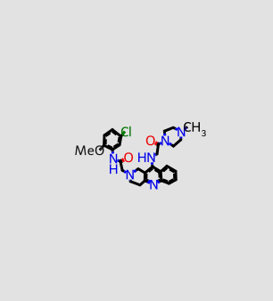 COc1ccc(Cl)cc1NC(=O)CN1CCc2nc3ccccc3c(NCC(=O)N3CCN(C)CC3)c2C1